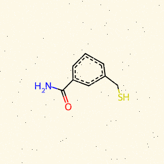 NC(=O)c1cccc(CS)c1